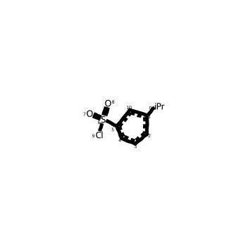 CC(C)c1cccc(S(=O)(=O)Cl)c1